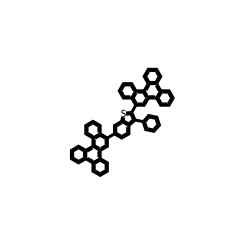 c1ccc(-c2c(-c3cc4c5ccccc5c5ccccc5c4c4ccccc34)sc3cc(-c4cc5c6ccccc6c6ccccc6c5c5ccccc45)ccc23)cc1